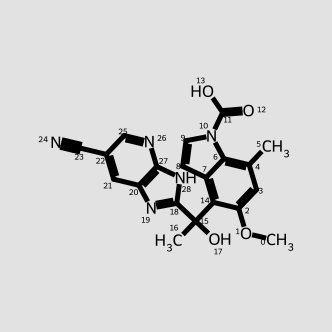 COc1cc(C)c2c(ccn2C(=O)O)c1C(C)(O)c1nc2cc(C#N)cnc2[nH]1